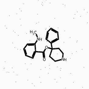 CNc1ccccc1C(=O)OC1(c2ccccc2)CCNCC1